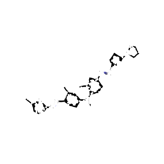 Cc1csc(/N=N/c2ccc(N(C)c3ccc(/N=N/c4ccc(N5CCCC5)s4)cc3C)cc2C)n1